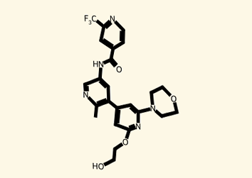 Cc1ncc(NC(=O)c2ccnc(C(F)(F)F)c2)cc1-c1cc(OCCO)nc(N2CCOCC2)c1